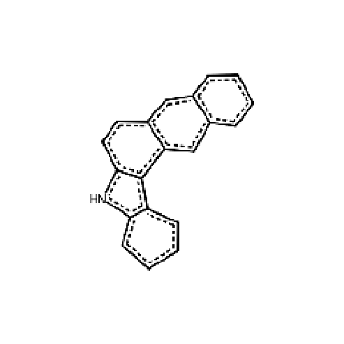 c1ccc2cc3c(ccc4[nH]c5ccccc5c43)cc2c1